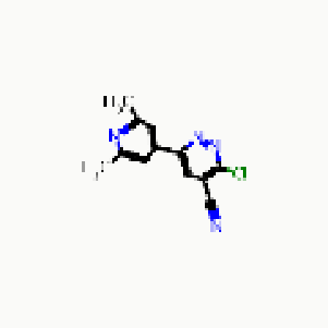 Cc1cc(-c2cc(C#N)c(Cl)nn2)cc(C)n1